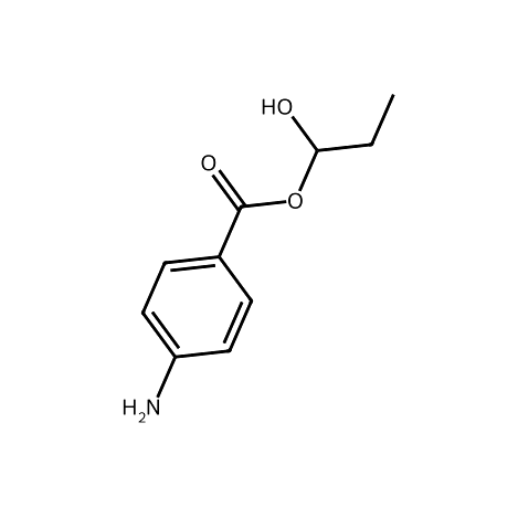 CCC(O)OC(=O)c1ccc(N)cc1